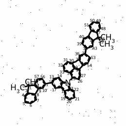 CC1(C)c2ccccc2-c2cc(-c3ccc4c(c3)c3ccccc3n4-c3ccc4c5c(cccc35)-c3cc(-c5ccc6c(c5)C(C)(C)c5ccccc5-6)ccc3-4)ccc21